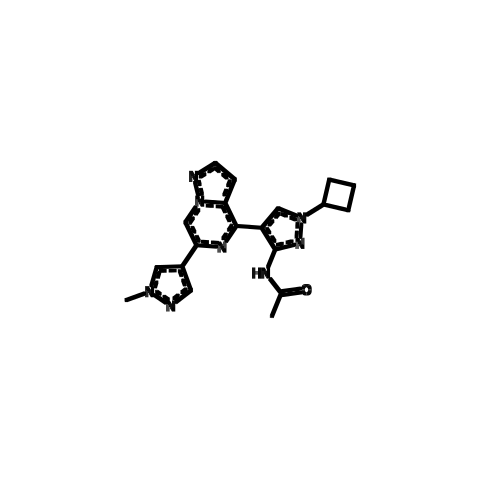 CC(=O)Nc1nn(C2CCC2)cc1-c1nc(-c2cnn(C)c2)cn2nccc12